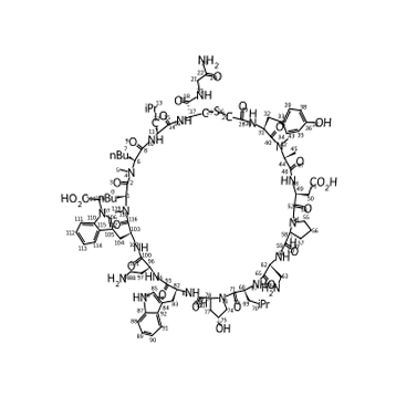 CCCC[C@H]1C(=O)N(C)[C@@H](CCCC)C(=O)N[C@@H](CC(C)C)C(=O)N[C@H](C(=O)NCC(N)=O)CSCC(=O)N[C@@H](Cc2ccc(O)cc2)C(=O)N(C)[C@@H](C)C(=O)N[C@@H](CC(=O)O)C(=O)N2CCC[C@H]2C(=O)N[C@@H](CN)C(=O)N[C@@H](CC(C)C)C(=O)N2C[C@H](O)C[C@H]2C(=O)N[C@@H](Cc2c[nH]c3ccccc23)C(=O)N[C@@H](CCN)C(=O)N[C@@H](Cc2cn(CC(=O)O)c3ccccc23)C(=O)N1C